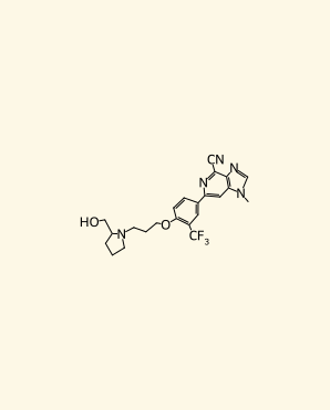 Cn1cnc2c(C#N)nc(-c3ccc(OCCCN4CCCC4CO)c(C(F)(F)F)c3)cc21